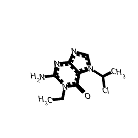 CCn1c(N)nc2ncn(C(C)Cl)c2c1=O